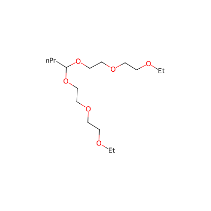 CCCC(OCCOCCOCC)OCCOCCOCC